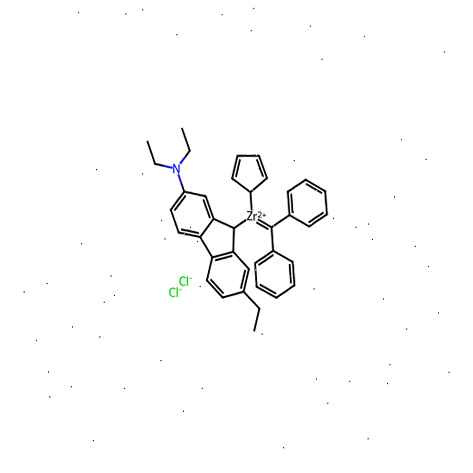 CCc1ccc2c(c1)[CH]([Zr+2](=[C](c1ccccc1)c1ccccc1)[CH]1C=CC=C1)c1cc(N(CC)CC)ccc1-2.[Cl-].[Cl-]